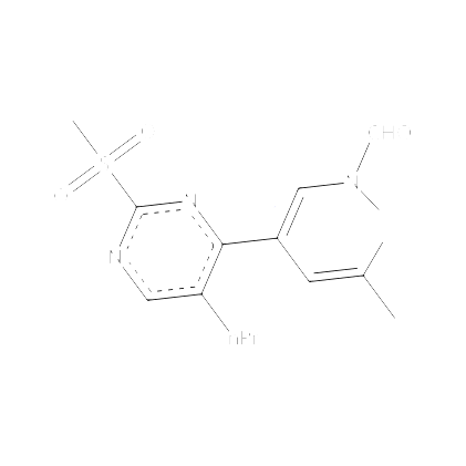 CCCc1cnc(S(C)(=O)=O)nc1/C(C=C(C)C)=C/N(C)C=O